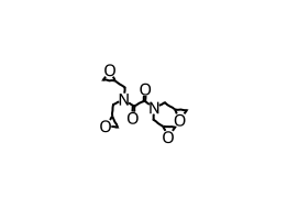 O=C(C(=O)N(CC1CO1)CC1CO1)N(CC1CO1)CC1CO1